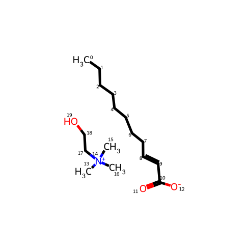 CCCCCCCCC=CC(=O)[O-].C[N+](C)(C)CCO